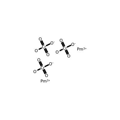 [O]=[Cr](=[O])([O-])[O-].[O]=[Cr](=[O])([O-])[O-].[O]=[Cr](=[O])([O-])[O-].[Pm+3].[Pm+3]